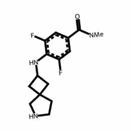 CNC(=O)c1cc(F)c(NC2CC3(CCNC3)C2)c(F)c1